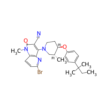 CCC(C)(C)c1ccc(O[C@@H]2CCN(c3c(C#N)c(=O)n(C)c4ccc(Br)nc34)C[C@H]2C)cc1